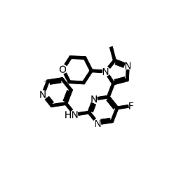 Cc1ncc(-c2nc(Nc3cc[c]nc3)ncc2F)n1C1CCOCC1